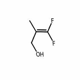 CC(CO)=C(F)F